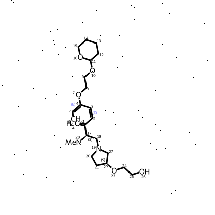 C=C(/C=C\C(=C/C)OCCOC1CCCCO1)[C@@H](CN1CC[C@H](OCCO)C1)NC